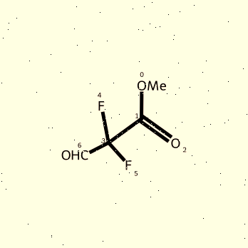 COC(=O)C(F)(F)C=O